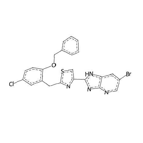 Clc1ccc(OCc2ccccc2)c(Cc2nc(-c3nc4ncc(Br)cc4[nH]3)cs2)c1